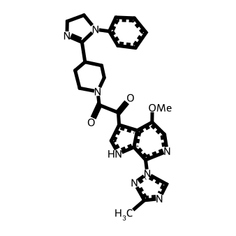 COc1cnc(-n2cnc(C)n2)c2[nH]cc(C(=O)C(=O)N3CCC(C4=NCCN4c4ccccc4)CC3)c12